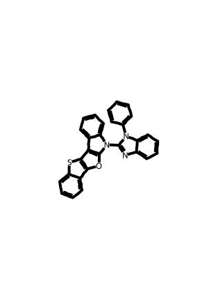 c1ccc(-n2c(-n3c4ccccc4c4c5sc6ccccc6c5oc43)nc3ccccc32)cc1